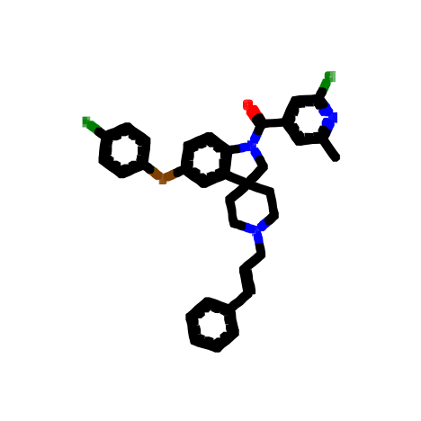 Cc1cc(C(=O)N2CC3(CCN(CC=Cc4ccccc4)CC3)c3cc(Sc4ccc(F)cc4)ccc32)cc(Cl)n1